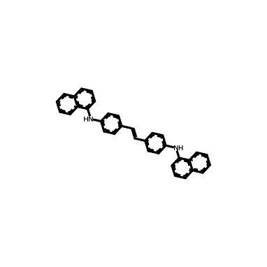 C(=Cc1ccc(Nc2cccc3ccccc23)cc1)c1ccc(Nc2cccc3ccccc23)cc1